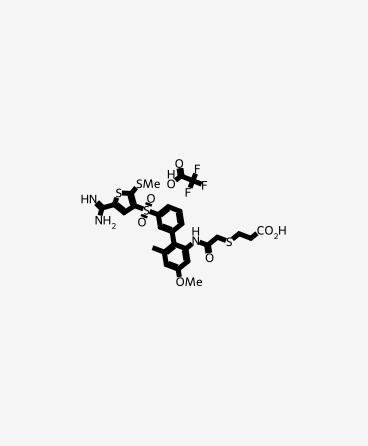 COc1cc(C)c(-c2cccc(S(=O)(=O)c3cc(C(=N)N)sc3SC)c2)c(NC(=O)CSCCC(=O)O)c1.O=C(O)C(F)(F)F